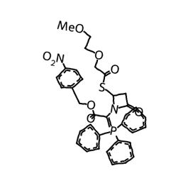 COCCOCC(=O)SC1CC(=O)N1C(C(=O)OCc1ccc([N+](=O)[O-])cc1)=P(c1ccccc1)(c1ccccc1)c1ccccc1